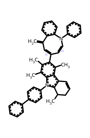 C=C1/C=C(c2c(C)c(C)c3c(c2C)c2c(n3-c3ccc(-c4ccccc4)cc3)C(C)CC=C2)\C=C/N(c2ccccc2)c2ccccc21